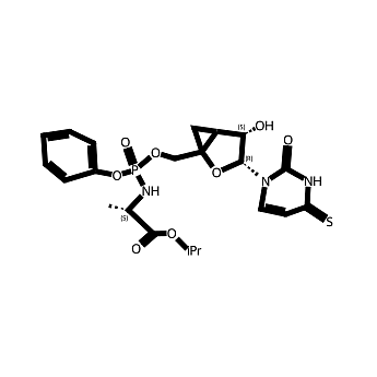 CC(C)OC(=O)[C@H](C)NP(=O)(OCC12CC1[C@H](O)[C@H](n1ccc(=S)[nH]c1=O)O2)Oc1ccccc1